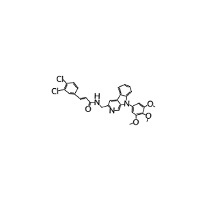 COc1cc(-n2c3ccccc3c3cc(CNC(=O)/C=C/c4ccc(Cl)c(Cl)c4)ncc32)cc(OC)c1OC